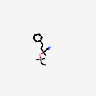 CC[Si](C)(C)OC(C)(C#N)CCc1ccccc1